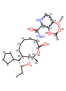 CCCO[C@@H]1[C@@H](CC2CCCC2)CCCC[C@H](NC(=O)c2nccc(OC)c2OC(C)=O)C(=O)O[C@H]1C